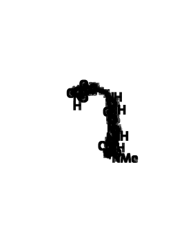 CNC(=O)c1ccccc1Nc1nc(Nc2ccc(C3CCN(C(=O)N[C@H]4CC[C@@H](NCCC#Cc5ccc6c(c5)CN(C5CCC(=O)NC5=O)C6=O)CC4)CC3)nc2)ncc1Cl